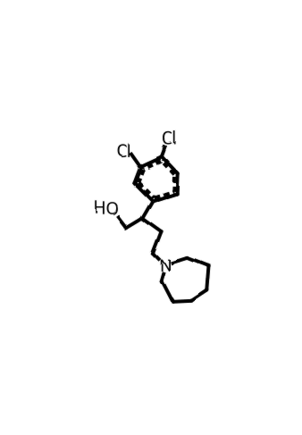 OCC(CCN1CCCCCC1)c1ccc(Cl)c(Cl)c1